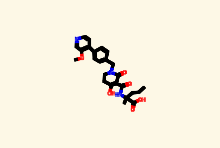 CCCC(C)(NC(=O)C1=C(O)CCN(Cc2ccc(-c3ccncc3OC)cc2)C1=O)C(=O)O